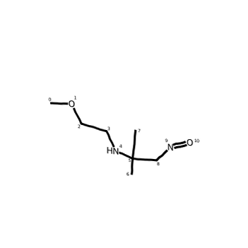 COCCNC(C)(C)CN=O